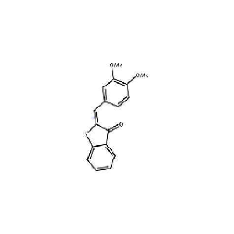 COc1ccc(/C=C2/Sc3ccccc3C2=O)cc1OC